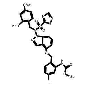 COc1ccc(CN(n2ncc3c(OCc4ccc(Cl)cc4NC(=O)OC(C)(C)C)cccc32)S(=O)(=O)c2ncns2)c(OC)c1